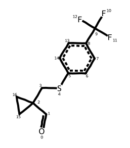 O=CC1(CSc2ccc(C(F)(F)F)cc2)CC1